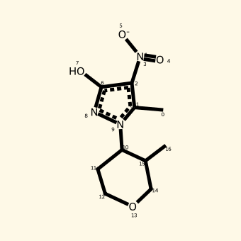 Cc1c([N+](=O)[O-])c(O)nn1C1CCOCC1C